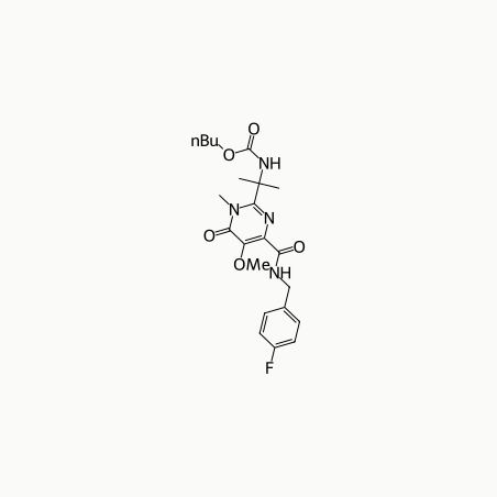 CCCCOC(=O)NC(C)(C)c1nc(C(=O)NCc2ccc(F)cc2)c(OC)c(=O)n1C